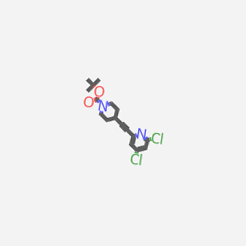 CC(C)(C)OC(=O)N1CCC(C#Cc2cc(Cl)cc(Cl)n2)CC1